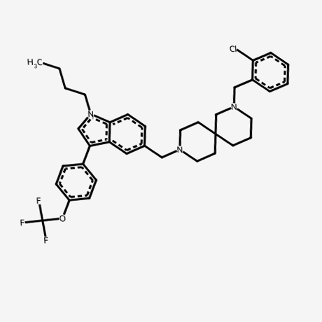 CCCCn1cc(-c2ccc(OC(F)(F)F)cc2)c2cc(CN3CCC4(CCCN(Cc5ccccc5Cl)C4)CC3)ccc21